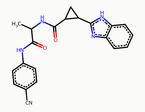 CC(NC(=O)C1CC1c1nc2ccccc2[nH]1)C(=O)Nc1ccc(C#N)cc1